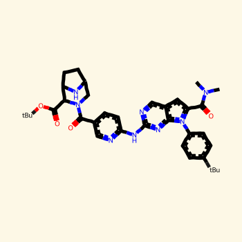 CN(C)C(=O)c1cc2cnc(Nc3ccc(C(=O)N4CC5CCC(N5)C4C(=O)OC(C)(C)C)cn3)nc2n1-c1ccc(C(C)(C)C)cc1